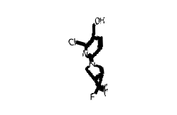 OCc1ccc(N2CC3C(C2)C3(F)F)nc1Cl